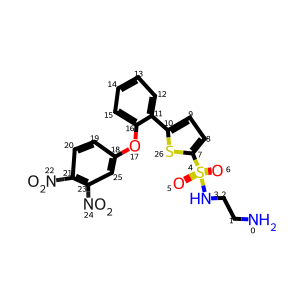 NCCNS(=O)(=O)c1ccc(-c2ccccc2Oc2ccc([N+](=O)[O-])c([N+](=O)[O-])c2)s1